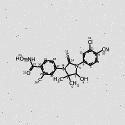 CC1(C)C(O)N(c2ccc(C#N)c(Cl)c2)C(=S)N1c1ccc(C(=O)NO)c(F)c1